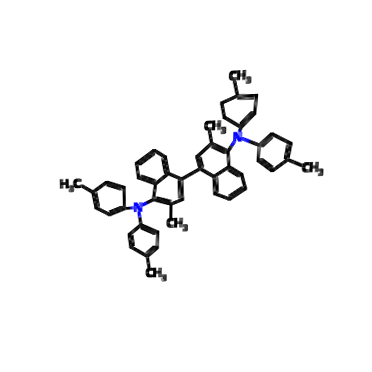 CC1=CC=C(N(c2ccc(C)cc2)c2c(C)cc(-c3cc(C)c(N(c4ccc(C)cc4)c4ccc(C)cc4)c4ccccc34)c3ccccc23)CC1